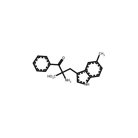 Cc1ccc2[nH]cc(CC(N)(C(=O)O)C(=O)c3ccccc3)c2c1